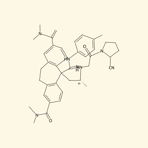 C=C(c1ccc2c(c1)CCc1cc(C(=O)N(C)C)ccc1C2(C[C@@H](C)NCC(=O)N1CCCC1C#N)C(=N)Nc1ccc(C)cc1)N(C)C